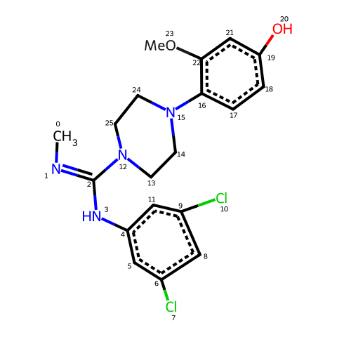 CN=C(Nc1cc(Cl)cc(Cl)c1)N1CCN(c2ccc(O)cc2OC)CC1